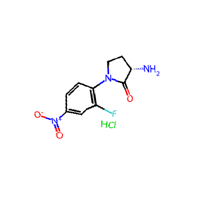 Cl.N[C@H]1CCN(c2ccc([N+](=O)[O-])cc2F)C1=O